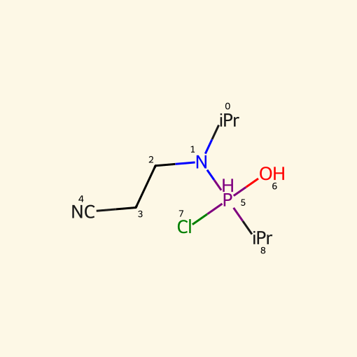 CC(C)N(CCC#N)[PH](O)(Cl)C(C)C